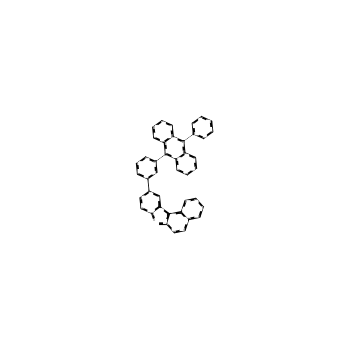 c1ccc(-c2c3ccccc3c(-c3cccc(-c4ccc5sc6ccc7ccccc7c6c5c4)c3)c3ccccc23)cc1